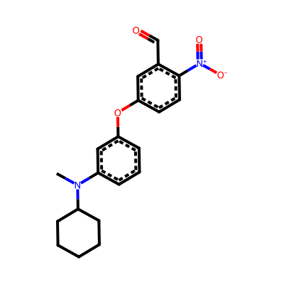 CN(c1cccc(Oc2ccc([N+](=O)[O-])c(C=O)c2)c1)C1CCCCC1